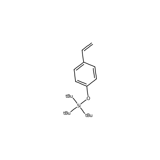 C=Cc1ccc(O[Si](C(C)(C)C)(C(C)(C)C)C(C)(C)C)cc1